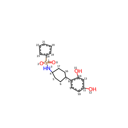 O=S(=O)(NC1CCC(c2ccc(O)cc2O)CC1)c1ccccc1